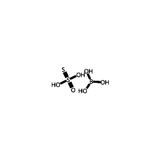 O=S(O)(O)=S.OB(O)O